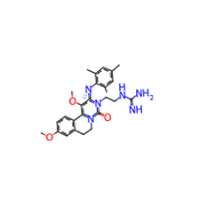 COc1ccc2c(c1)CCn1c-2c(OC)/c(=N/c2c(C)cc(C)cc2C)n(CCNC(=N)N)c1=O